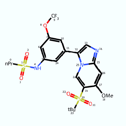 CCCS(=O)(=O)Nc1cc(OC(F)(F)F)cc(-c2cnc3cc(OC)c(S(=O)(=O)C(C)(C)C)cn23)c1